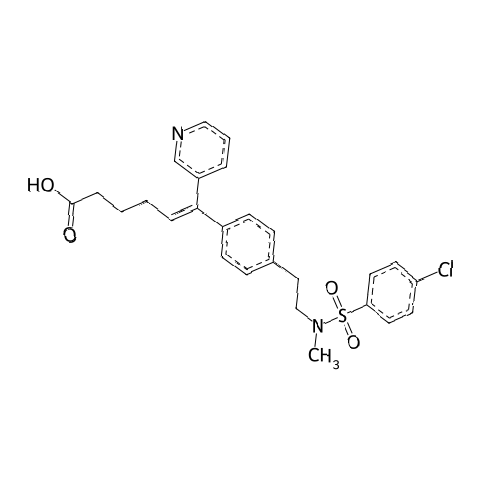 CN(CCc1ccc(/C(=C/CCCC(=O)O)c2cccnc2)cc1)S(=O)(=O)c1ccc(Cl)cc1